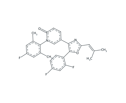 CC(C)=Cc1nc(-c2ccc(=O)n(-c3c(C)cc(F)cc3C)c2)c(-c2ccc(F)cc2F)o1